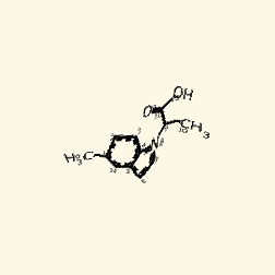 Cc1ccc2c(ccn2C(C)C(=O)O)c1